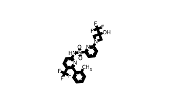 Cc1ccccc1-c1nc(NS(=O)(=O)c2cccc(N3CC(O)(C(F)(F)F)C3)n2)ccc1C(F)(F)F